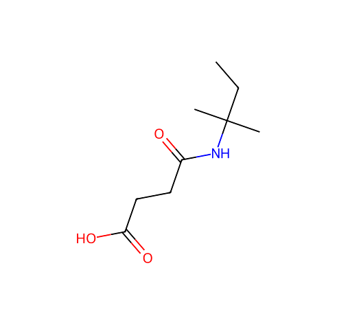 CCC(C)(C)NC(=O)CCC(=O)O